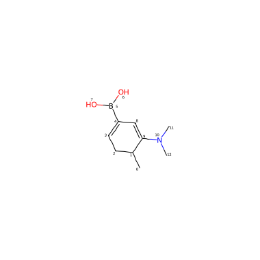 CC1CC=C(B(O)O)C=C1N(C)C